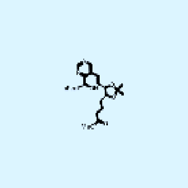 CCCCC[C@H](O)c1ncncc1/C=C/[C@H]1OC(C)(C)O[C@H]1CCCC(=O)OC